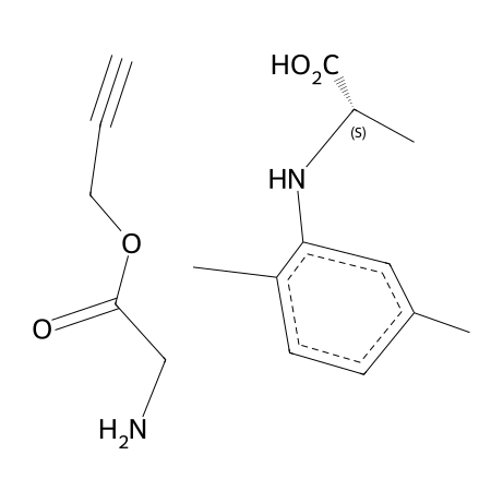 C#CCOC(=O)CN.Cc1ccc(C)c(N[C@@H](C)C(=O)O)c1